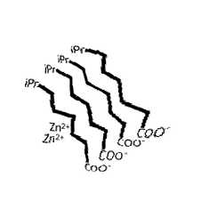 CC(C)CCCCCC(=O)[O-].CC(C)CCCCCC(=O)[O-].CC(C)CCCCCC(=O)[O-].CC(C)CCCCCC(=O)[O-].[Zn+2].[Zn+2]